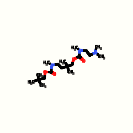 CN(C)CCN(C)C(=O)OCC(C)(C)CCN(C)C(=O)OCC(C)(C)C